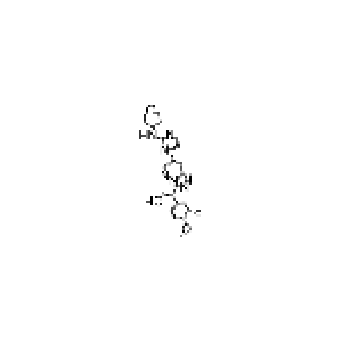 COc1ccc([C@@H](CO)c2nnc3cc(-c4ccnc(NC5CCOCC5)n4)cnn23)cc1F